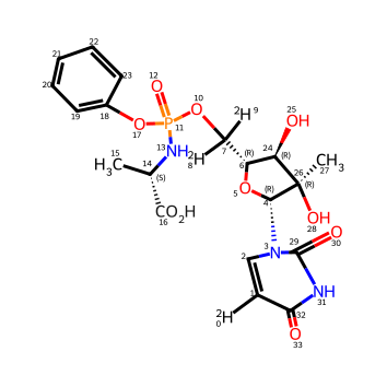 [2H]c1cn([C@@H]2O[C@H](C([2H])([2H])OP(=O)(N[C@@H](C)C(=O)O)Oc3ccccc3)[C@@H](O)[C@@]2(C)O)c(=O)[nH]c1=O